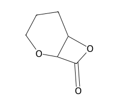 O=C1OC2CCCOC12